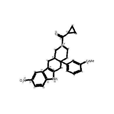 COc1cccc(C23CCN(C(=O)C4CC4)CC2Cc2c([nH]c4ccc([N+](=O)[O-])cc24)C3)c1